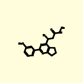 CCN(CC(=O)NC(C)(C)C)c1nc(-c2cc(OC)ccn2)nc2c1CCC2